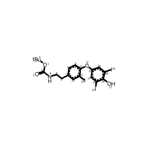 CC(C)(C)OC(=O)NCCc1ccc(Oc2cc(I)c(O)c(I)c2)c(I)c1